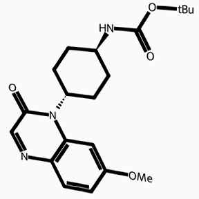 COc1ccc2ncc(=O)n([C@H]3CC[C@H](NC(=O)OC(C)(C)C)CC3)c2c1